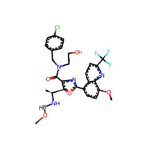 COBN[C@@H](C)c1oc(-c2ccc(OC)c3nc(C(F)(F)F)ccc23)nc1C(=O)N(CCO)Cc1ccc(Cl)cc1